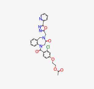 CC(=O)OCCOc1ccc(C(=O)N2CC(=O)N(Cc3nnc(-c4ccccn4)o3)Cc3ccccc32)c(Cl)c1